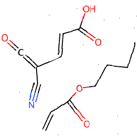 C=CC(=O)OCCCC.N#CC(=C=O)C=CC(=O)O